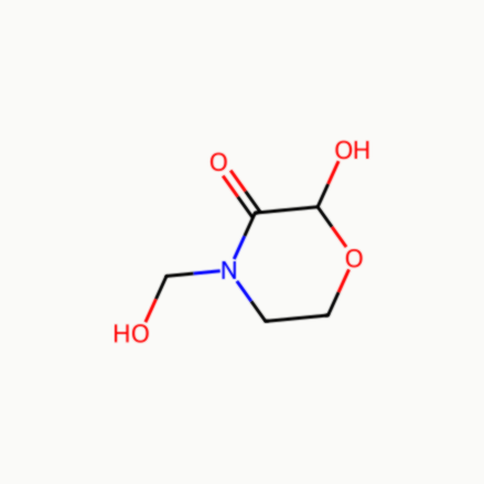 O=C1C(O)OCCN1CO